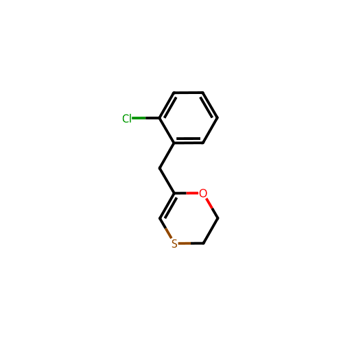 Clc1ccccc1CC1=CSCCO1